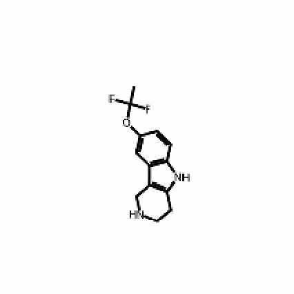 CC(F)(F)Oc1ccc2[nH]c3c(c2c1)CNCC3